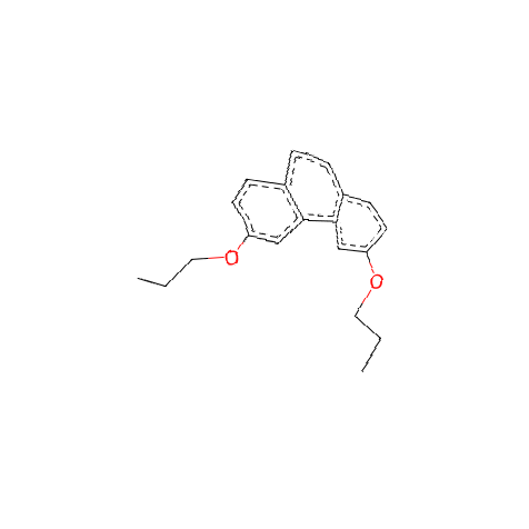 CCCOc1ccc2ccc3ccc(OCCC)cc3c2c1